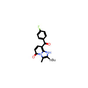 CCCCc1[nH]c2c(C(=O)c3ccc(F)cc3)ccc(=O)n2c1C